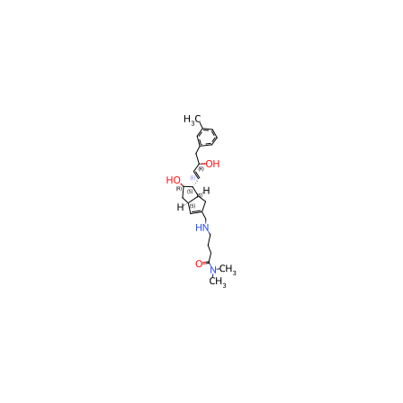 Cc1cccc(C[C@@H](O)/C=C/[C@@H]2[C@H]3CC(CNCCCC(=O)N(C)C)=C[C@H]3C[C@H]2O)c1